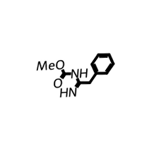 COC(=O)NC(=N)Cc1ccccc1